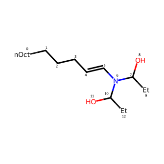 CCCCCCCCCCCC=CN(C(O)CC)C(O)CC